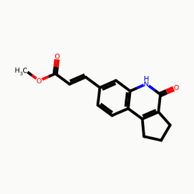 COC(=O)/C=C/c1ccc2c3c(c(=O)[nH]c2c1)CCC3